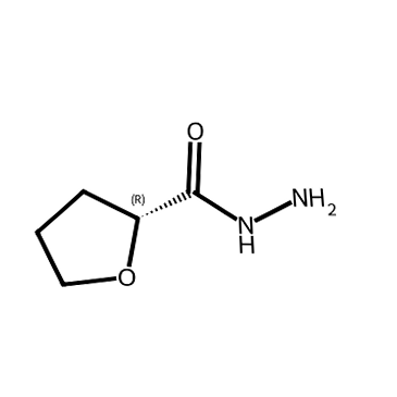 NNC(=O)[C@H]1CCCO1